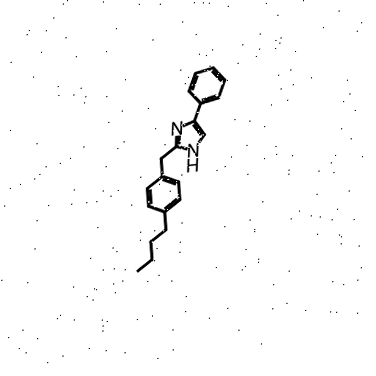 CCCCc1ccc(Cc2nc(-c3ccccc3)c[nH]2)cc1